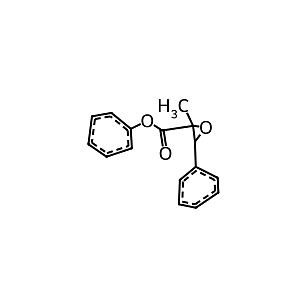 CC1(C(=O)Oc2ccccc2)OC1c1ccccc1